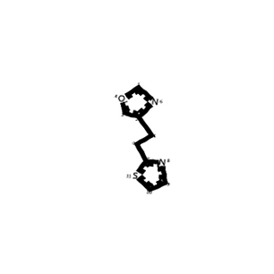 [CH](Cc1cocn1)c1nccs1